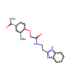 COC(=O)c1ccc(OCC(=O)NCCc2nc3ccccc3[nH]2)c(OC)c1